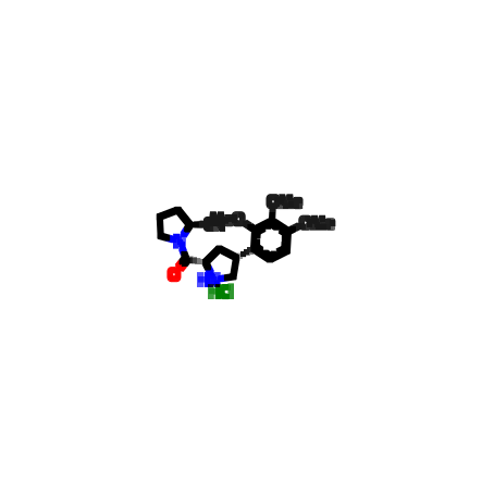 COc1ccc([C@@H]2CN[C@H](C(=O)N3CCC[C@H]3C#N)C2)c(OC)c1OC.Cl